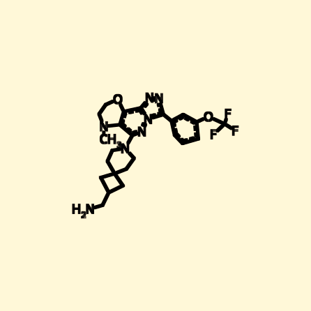 CN1CCOc2c1c(N1CCC3(CC1)CC(CN)C3)nn1c(-c3cccc(OC(F)(F)F)c3)nnc21